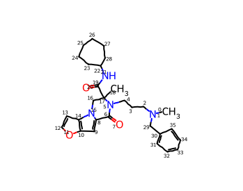 CN(CCCN1C(=O)c2cc3occc3n2CC1(C)C(=O)NC1CCCCCC1)Cc1ccccc1